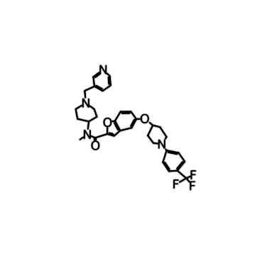 CN(C(=O)c1cc2cc(OC3CCN(c4ccc(C(F)(F)F)cc4)CC3)ccc2o1)C1CCN(Cc2cccnc2)CC1